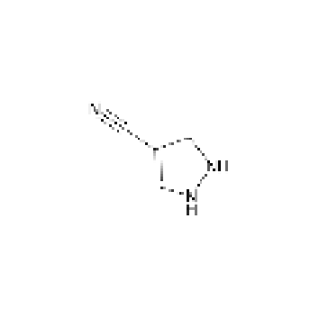 N#CC1=CNNC1